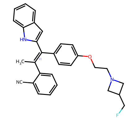 C/C(=C(/c1ccc(OCCN2CC(CF)C2)cc1)c1cc2ccccc2[nH]1)c1ccccc1C#N